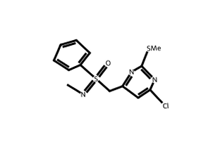 CN=S(=O)(Cc1cc(Cl)nc(SC)n1)c1ccccc1